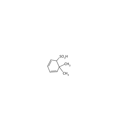 CC1(C)C=CC=CC1S(=O)(=O)O